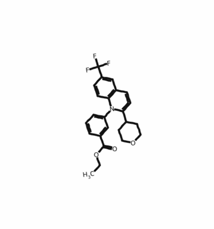 CCOC(=O)c1cccc(N2C(C3CCOCC3)=C=Cc3cc(C(F)(F)F)ccc32)c1